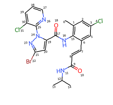 Cc1cc(Cl)cc(C=CC(=O)NC(C)C)c1NC(=O)c1cc(Br)nn1-c1ncccc1Cl